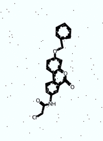 O=C(CCl)Nc1ccc2c(c1)c(=O)oc1cc(OCc3ccccc3)ccc12